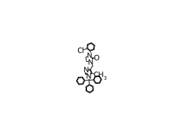 Cc1c(CN2CCN(c3ccccc3Cl)C2=O)ncn1C(c1ccccc1)(c1ccccc1)c1ccccc1